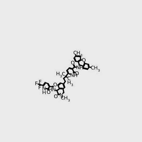 Cc1ccc2c(c1)Oc1cc(C)ccc1C2NC(=O)c1ccc(C(C)(C)CCc2ccc3c(c2)CN(C)C(=O)C3NC(=O)c2ccc(C(F)(F)F)[nH]c2=O)[nH]c1=O